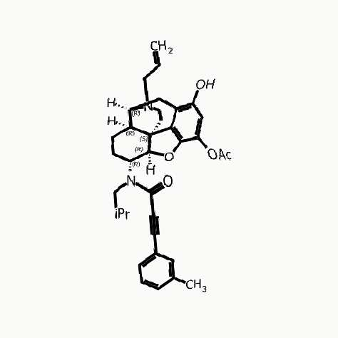 C=CCN1CC[C@]23c4c5c(O)cc(OC(C)=O)c4O[C@H]2[C@H](N(CC(C)C)C(=O)C#Cc2cccc(C)c2)CC[C@H]3[C@H]1C5